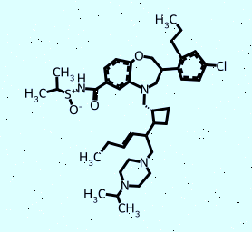 CC/C=C/C(CN1CCN(C(C)C)CC1)C1CC[C@H]1CN1CC(c2ccc(Cl)cc2CCC)COc2ccc(C(=O)N[S+]([O-])C(C)C)cc21